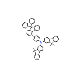 CC1(C)c2ccccc2-c2ccc(N(c3ccc(-c4cccc5c4-c4ccccc4[Si]5(c4ccccc4)c4ccccc4)cc3)c3ccc4c(c3)C(C)(C)c3ccccc3-4)cc21